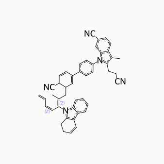 C=C/C=C\C(=C(/C)CC1C=C(c2ccc(-n3c(CCC#N)c(C)c4ccc(C#N)cc43)cc2)C=CC1C#N)n1c2c(c3ccccc31)C=CCC2